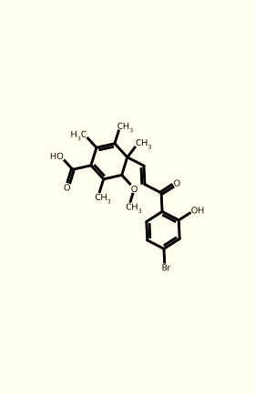 COC1C(C)=C(C(=O)O)C(C)=C(C)C1(C)C=CC(=O)c1ccc(Br)cc1O